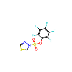 O=S(=O)(Oc1c(F)c(F)c(F)c(F)c1F)N1CSC=N1